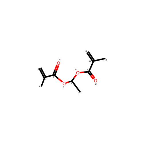 C=C(C)C(=O)OC(C)OC(=O)C(=C)C